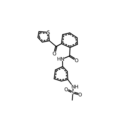 CS(=O)(=O)Nc1cccc(NC(=O)c2ccccc2C(=O)c2cccs2)c1